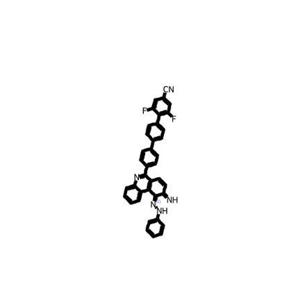 N#Cc1cc(F)c(-c2ccc(-c3ccc(-c4nc5ccccc5c5c4C=CC(=N)/C5=N\Nc4ccccc4)cc3)cc2)c(F)c1